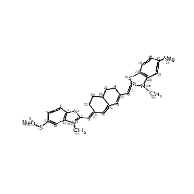 COSc1ccc2sc(/C=C3/C=C4C=C(/C=C5\Sc6ccc(SC)cc6N5C)CCC4CC3)[n+](C)c2c1